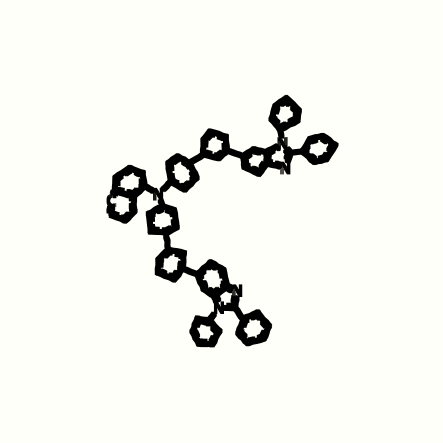 c1ccc(-c2nc3ccc(-c4cccc(-c5ccc(N(c6ccc(-c7cccc(-c8ccc9nc(-c%10ccccc%10)n(-c%10ccccc%10)c9c8)c7)cc6)c6cccc7ccccc67)cc5)c4)cc3n2-c2ccccc2)cc1